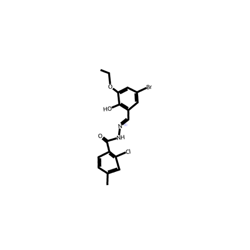 CCOc1cc(Br)cc(/C=N/NC(=O)c2ccc(C)cc2Cl)c1O